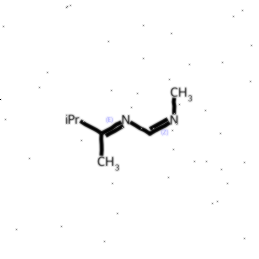 C/N=C\N=C(/C)C(C)C